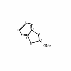 CNC1Cc2ccccc2C1